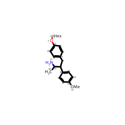 CCCCCCOc1ccc(CC(c2ccc(OC)cc2)C(C)N)cc1